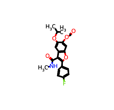 CNC(=O)c1c(-c2ccc(F)cc2)oc2cc(OC=O)c(OC(C)C)cc12